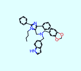 CCCCn1c(-c2ccccc2)nc(-c2ccccc2)c1CN(Cc1ccc2c(c1)OCO2)Cc1ccc2[nH]ccc2c1